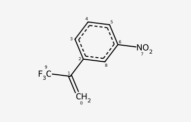 C=C(c1cccc([N+](=O)[O-])c1)C(F)(F)F